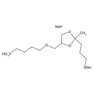 CCCCCCCCCCCCCC1(C)OCC(COCCCCS(=O)(=O)O)O1.[NaH]